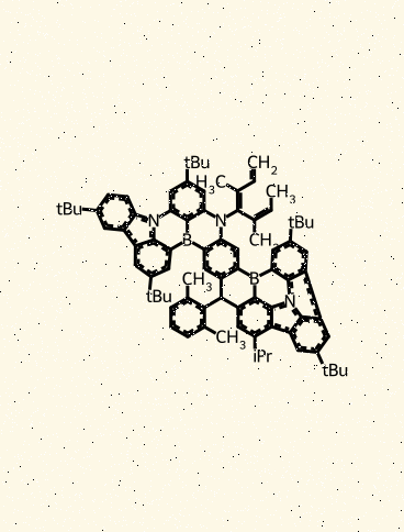 C=C/C(C)=C(\C(C)=C/C)N1c2cc3c(cc2B2c4c1cc(C(C)(C)C)cc4-n1c4ccc(C(C)(C)C)cc4c4cc(C(C)(C)C)cc2c41)C(c1c(C)cccc1C)c1cc(C(C)C)c2c4cc(C(C)(C)C)cc5c6cc(C(C)(C)C)cc7c6n(c2c1B37)c54